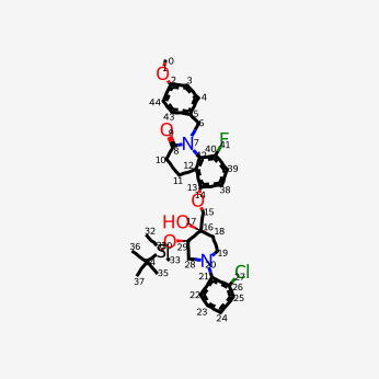 COc1ccc(CN2C(=O)CCc3c(OC[C@]4(O)CCN(c5ccccc5Cl)C[C@H]4O[Si](C)(C)C(C)(C)C)ccc(F)c32)cc1